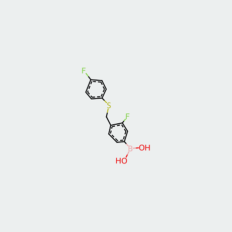 OB(O)c1ccc(CSc2ccc(F)cc2)c(F)c1